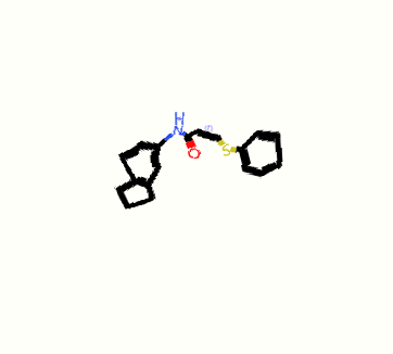 O=C(/C=C\Sc1ccccc1)Nc1ccc2c(c1)CCC2